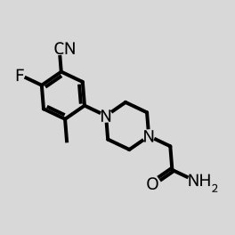 Cc1cc(F)c(C#N)cc1N1CCN(CC(N)=O)CC1